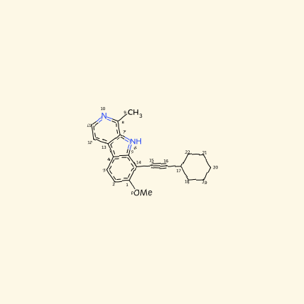 COc1ccc2c([nH]c3c(C)nccc32)c1C#CC1CCCCC1